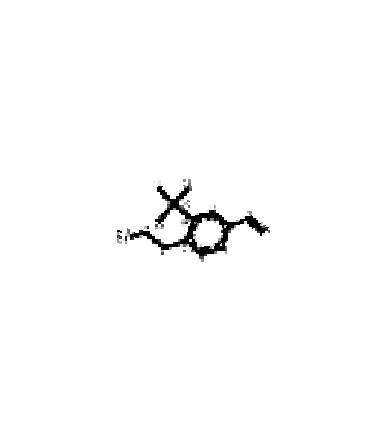 C=Cc1ccc(CCBr)c(C(C)(C)C)c1